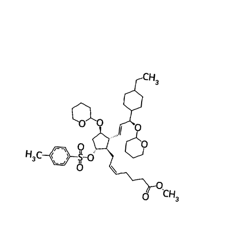 CCC1CCC([C@H](/C=C/[C@@H]2[C@@H](C/C=C\CCCC(=O)OC)[C@H](OS(=O)(=O)c3ccc(C)cc3)C[C@H]2OC2CCCCO2)OC2CCCCO2)CC1